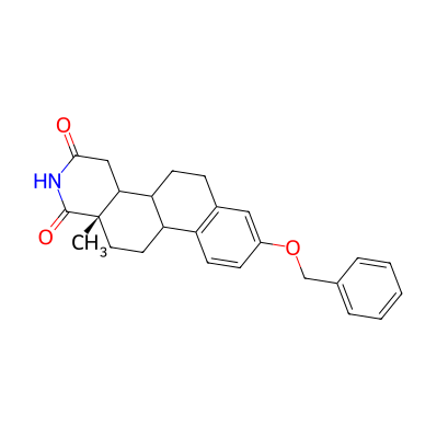 C[C@]12CCC3c4ccc(OCc5ccccc5)cc4CCC3C1CC(=O)NC2=O